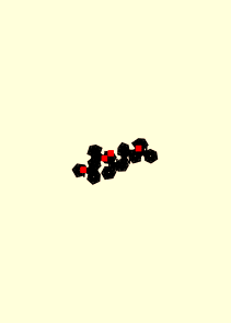 c1ccc(N(c2cccc(-n3c4ccccc4c4cc5c(cc43)c3ccccc3n5-c3ccccc3)c2)c2cccc(-n3c4ccccc4c4c5c6ccccc6n(-c6ccccc6)c5ccc43)c2)cc1